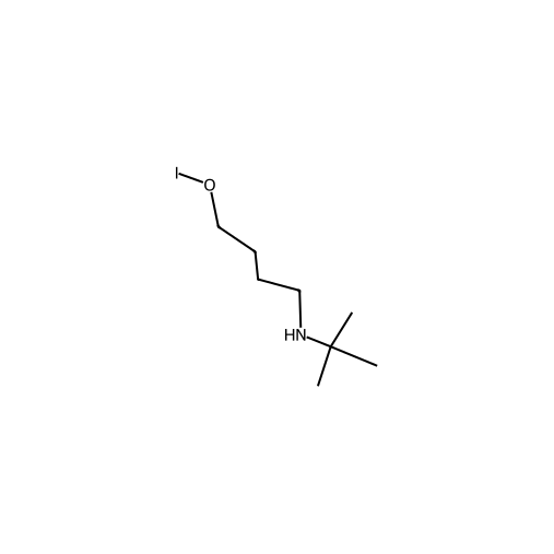 CC(C)(C)NCCCCOI